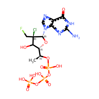 C[C@H](OP(=O)(O)OP(=O)(O)OP(=O)(O)O)[C@H]1O[C@@H](n2cnc3c(=O)[nH]c(N)nc32)[C@@](Cl)(CF)C1O